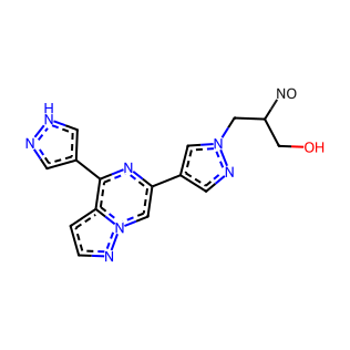 O=NC(CO)Cn1cc(-c2cn3nccc3c(-c3cn[nH]c3)n2)cn1